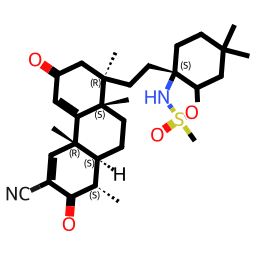 CC1CC(C)(C)CC[C@@]1(CC[C@]1(C)CC(=O)C=C2[C@@]3(C)C=C(C#N)C(=O)[C@@H](C)[C@@H]3CC[C@]21C)NS(C)(=O)=O